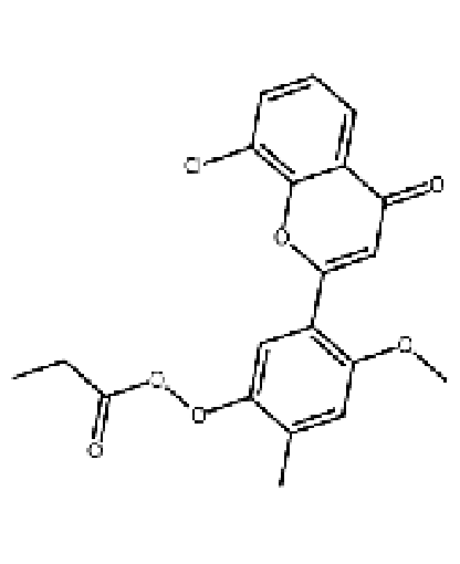 CCC(=O)OOc1cc(-c2cc(=O)c3cccc(Cl)c3o2)c(OC)cc1C